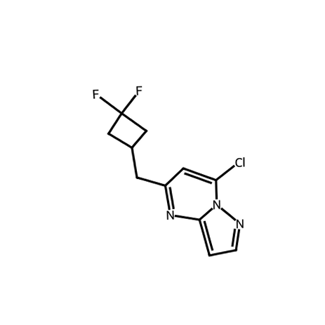 FC1(F)CC(Cc2cc(Cl)n3nccc3n2)C1